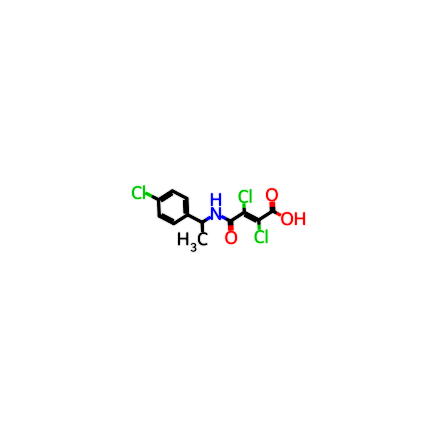 CC(NC(=O)C(Cl)=C(Cl)C(=O)O)c1ccc(Cl)cc1